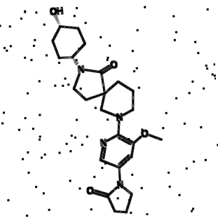 COc1cc(N2CCCC2=O)cnc1N1CCCC2(CCN([C@H]3CC[C@@H](O)CC3)C2=O)C1